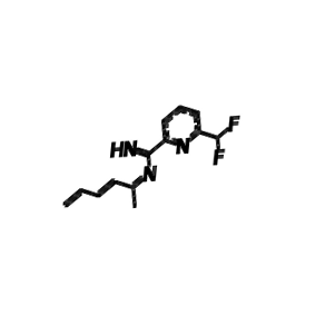 C=C/C=C/C(C)=N\C(=N)c1cccc(C(F)F)n1